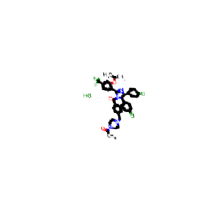 CC(=O)N1CCN(Cc2ccc(C(=O)N3C(c4ccc(C(F)(F)F)cc4OC(C)C)=NC(c4ccc(Cl)cc4)C3c3ccc(Cl)cc3)cc2)CC1.Cl